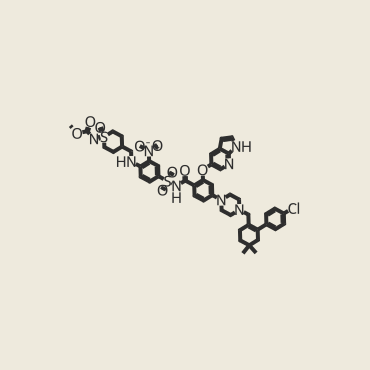 COC(=O)N=S1(=O)CCC(CNc2ccc(S(=O)(=O)NC(=O)c3ccc(N4CCN(CC5=C(c6ccc(Cl)cc6)CC(C)(C)CC5)CC4)cc3Oc3cnc4[nH]ccc4c3)cc2[N+](=O)[O-])CC1